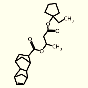 CCC1(OC(=O)CC(C)OC(=O)C2CC3CC2C2C4C=CC(C4)C32)CCCC1